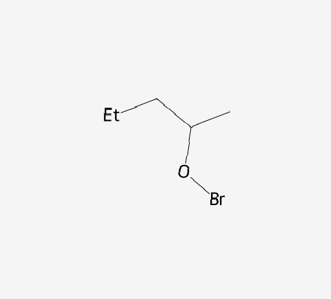 CCCC(C)OBr